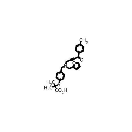 Cc1ccc(C(=O)C#CCN(Cc2ccc(SC(C)(C)C(=O)O)cc2)Cc2ccco2)cc1